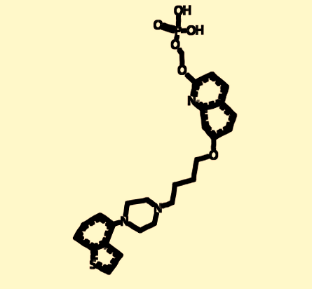 O=P(O)(O)OCOc1ccc2ccc(OCCCCN3CCN(c4cccc5sccc45)CC3)cc2n1